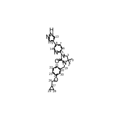 CC1(C)CN(c2ccc(-c3cn[nH]c3)cn2)C(=O)N1Cc1cccc(OCC2CC2)c1